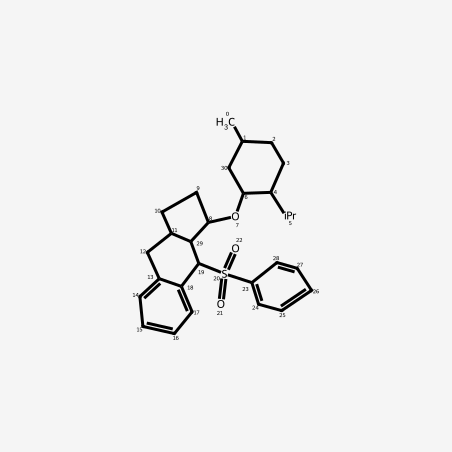 CC1CCC(C(C)C)C(OC2CCC3Cc4ccccc4C(S(=O)(=O)c4ccccc4)C32)C1